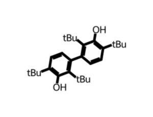 CC(C)(C)c1ccc(-c2ccc(C(C)(C)C)c(O)c2C(C)(C)C)c(C(C)(C)C)c1O